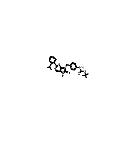 CC(C)c1ccccc1-c1ncc2[nH]c(=O)n(Cc3ccc(NC(=O)OC(C)(C)C)cc3)c2n1